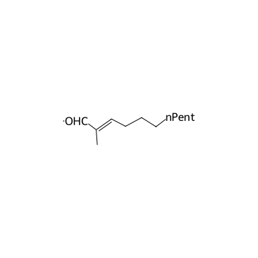 CCCCCCCCC=C(C)[C]=O